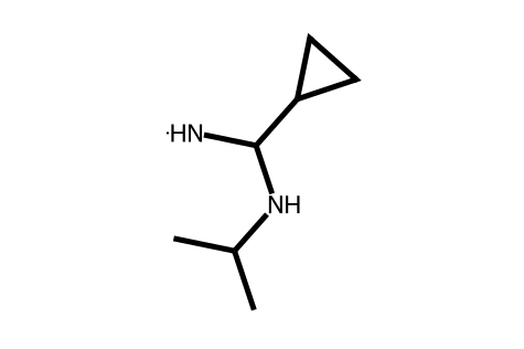 CC(C)NC([NH])C1CC1